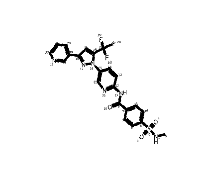 CNS(=O)(=O)c1ccc(C(=O)Nc2ccc(-n3nc(-c4cccnc4)cc3C(F)(F)F)cn2)cc1